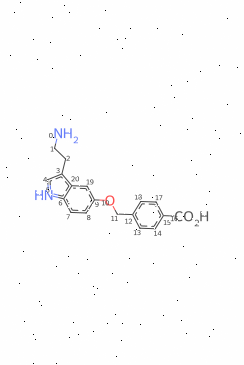 NCCc1c[nH]c2ccc(OCc3ccc(C(=O)O)cc3)cc12